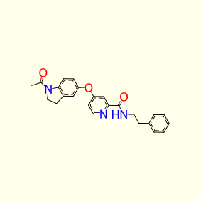 CC(=O)N1CCc2cc(Oc3ccnc(C(=O)NCCc4ccccc4)c3)ccc21